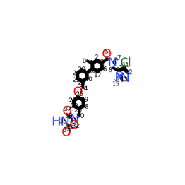 Cc1cc(C(=O)N(C)Cc2c(Cl)cnn2C)ccc1-c1cccc(COc2ccc(Cn3oc(=O)[nH]c3=O)cc2)c1